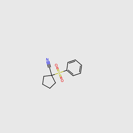 N#CC1(S(=O)(=O)c2ccccc2)CCCC1